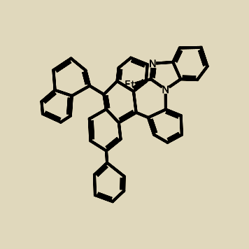 CCc1nc2ccccc2n1-c1ccccc1-c1c2ccccc2c(-c2cccc3ccccc23)c2ccc(-c3ccccc3)cc12